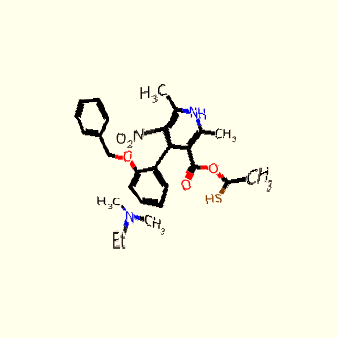 CC1=C(C(=O)OC(C)S)C(c2ccccc2OCc2ccccc2)C([N+](=O)[O-])=C(C)N1.CCN(C)C